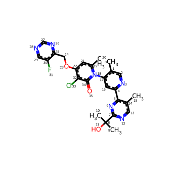 Cc1cnc(-c2nc(C(C)(C)O)ncc2C)cc1-n1c(C)cc(OCc2ncncc2F)c(Cl)c1=O